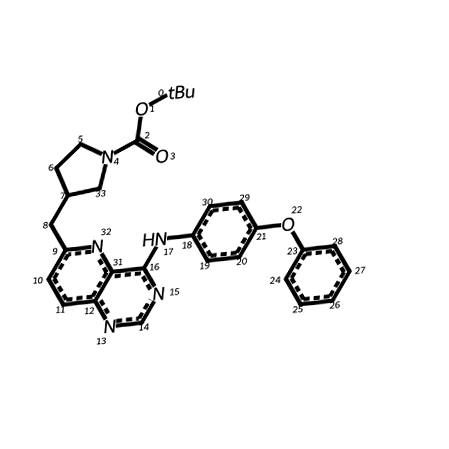 CC(C)(C)OC(=O)N1CCC(Cc2ccc3ncnc(Nc4ccc(Oc5ccccc5)cc4)c3n2)C1